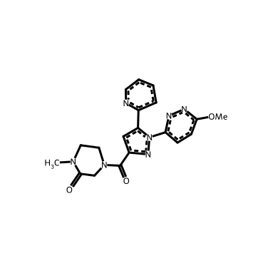 COc1ccc(-n2nc(C(=O)N3CCN(C)C(=O)C3)cc2-c2ccccn2)nn1